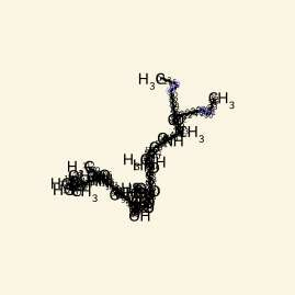 CCCCC/C=C\C/C=C\CCCCCCCCC1(CCCCCCCC/C=C\C/C=C\CCCCC)OCC(CCN(C)CCCCNC(=O)CCCOc2ccc(C(C)NNC(=O)CCSSCCCC(=O)N3C[C@H](OP(=O)(O)OC[C@@H]4C[C@@H](O)CN4C(=O)CCCCCNC(=O)CCCCCNC(=O)[C@H](CCCCC)NC(=O)CCCCOC4OC(CO)C(O)[C@H](O)[C@@H]4C)C[C@H]3COP(=O)(O)S)cc2)O1